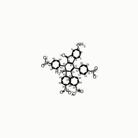 Nc1ccc2c(c1)C(=O)C1=C2C(c2ccc([N+](=O)[O-])cc2)=C(c2ccc([N+](=O)[O-])cc2)C(N)(c2ccc([N+](=O)[O-])cc2)C1c1ccc([N+](=O)[O-])cc1